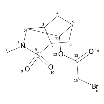 CN1C2C3CC(CC3S1(=O)=O)C2OC(=O)CBr